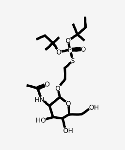 CCC(C)(C)OP(=O)(OC(C)(C)CC)SCCOC1OC(CO)C(O)C(O)C1NC(C)=O